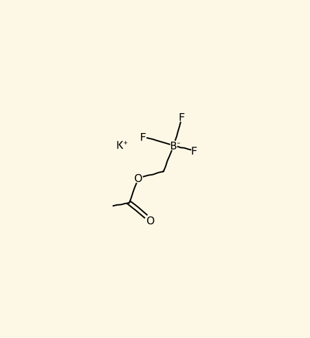 CC(=O)OC[B-](F)(F)F.[K+]